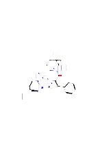 Cc1nc(C(=O)N2[C@H](CNc3ccc(C(F)(F)F)cn3)CC[C@@H]3C[C@@H]32)c(-c2ccccc2)s1